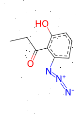 CCC(=O)c1c(O)cccc1N=[N+]=[N-]